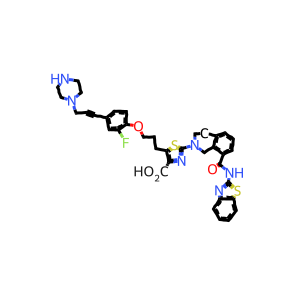 O=C(Nc1nc2ccccc2s1)c1cccc2c1CN(c1nc(C(=O)O)c(CCCOc3ccc(C#CCN4CCNCC4)cc3F)s1)CC2